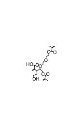 C=C(C)C(=O)OCCOCCOC(COC(=O)C(=C)C)C(CCO)C(=C)C(=O)O